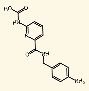 Nc1ccc(CNC(=O)c2cccc(NC(=O)O)n2)cc1